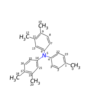 Cc1ccc(N(c2ccc(C)c(C)c2)c2ccc(C)c(C)c2)cc1